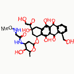 CONCC(=O)NC1CC(O[C@H]2C[C@](O)(C(=O)CO)Cc3c(O)c4c(c(O)c32)C(=O)c2c(CO)cccc2C4=O)OC(C)C1O